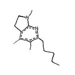 CCCCCc1nc2c(c(C)c1C)CCN2C